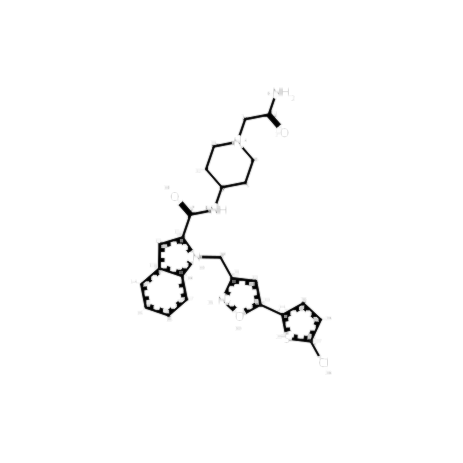 NC(=O)CN1CCC(NC(=O)c2cc3ccccc3n2Cc2cc(-c3ccc(Cl)s3)on2)CC1